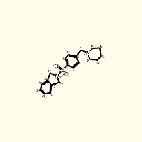 O=S(=O)(c1ccc(CN2CCCCC2)cc1)N1Cc2ccccc2C1